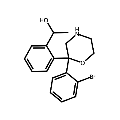 CC(O)c1ccccc1C1(c2ccccc2Br)CNCCO1